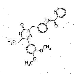 CCC1OC(=O)N(Cc2cccc(NC(=O)c3ccccn3)c2)N=C1c1ccc(OC)c(OC)c1